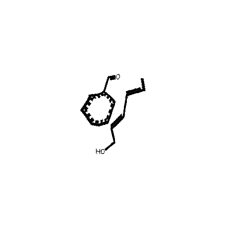 CC=CC=CCO.O=Cc1ccccc1